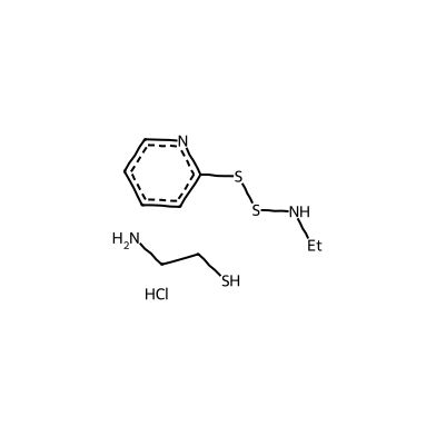 CCNSSc1ccccn1.Cl.NCCS